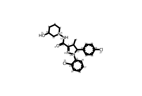 CC1C(C(=O)NN2CCCC(O)C2)=NN(c2ccccc2Cl)C1c1ccc(Cl)cc1